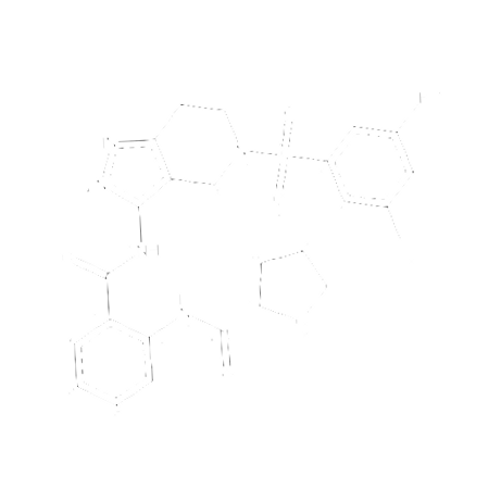 O=C(Nc1n[nH]c2c1CN(S(=O)(=O)c1cc(F)cc(F)c1)CC2)c1ccccc1NC(=O)[C@@H]1CCCO1